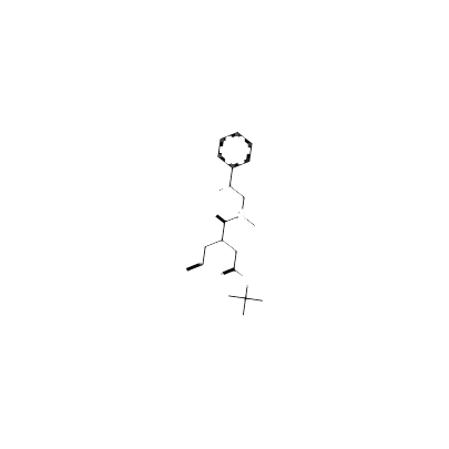 C=CCC(CC(=O)OC(C)(C)C)C(=O)N(C)[C@@H](C)[C@@H](O)c1ccccc1